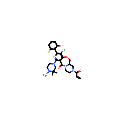 C=CC(=O)N1CCN2C(=O)c3c(N4CCN(C(F)(F)F)C(C)(C)C4)nc(-c4c(O)cccc4F)c(Cl)c3OCC2C1